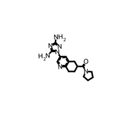 Nc1nc(N)n(-c2cnc3c(c2)CC(C(=O)N2CCCC2)CC3)n1